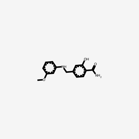 COc1cccc(NCc2ccc(C(N)=O)c(O)c2)c1